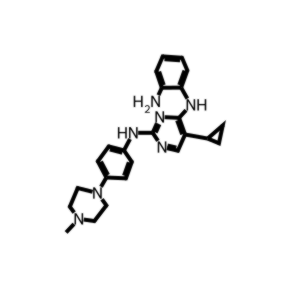 CN1CCN(c2ccc(Nc3ncc(C4CC4)c(Nc4ccccc4N)n3)cc2)CC1